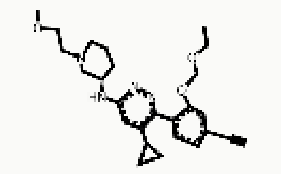 C#Cc1ccc(-c2nnc(N[C@@H]3CCCN(CCOC)C3)cc2C2CC2)c(OCOCC)c1